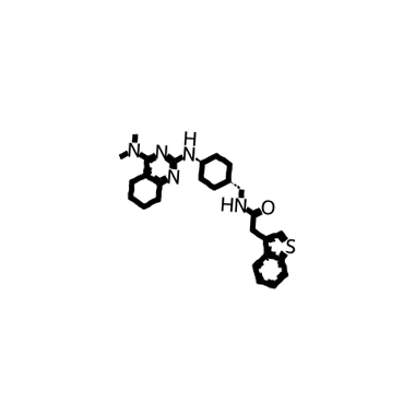 CN(C)c1nc(N[C@H]2CC[C@@H](CNC(=O)Cc3csc4ccccc34)CC2)nc2c1CCCC2